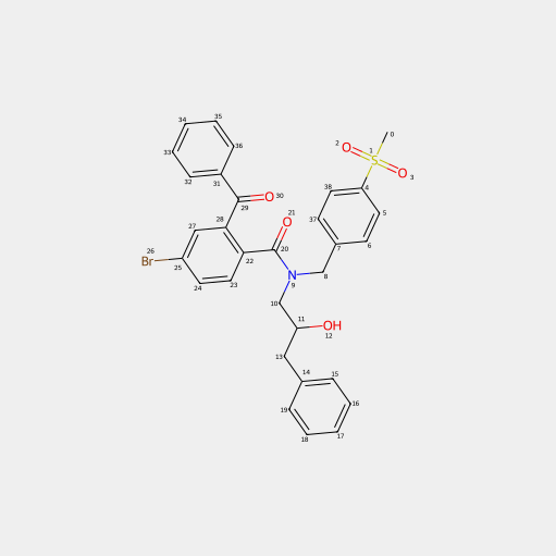 CS(=O)(=O)c1ccc(CN(CC(O)Cc2ccccc2)C(=O)c2ccc(Br)cc2C(=O)c2ccccc2)cc1